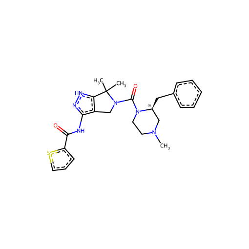 CN1CCN(C(=O)N2Cc3c(NC(=O)c4cccs4)n[nH]c3C2(C)C)[C@@H](Cc2ccccc2)C1